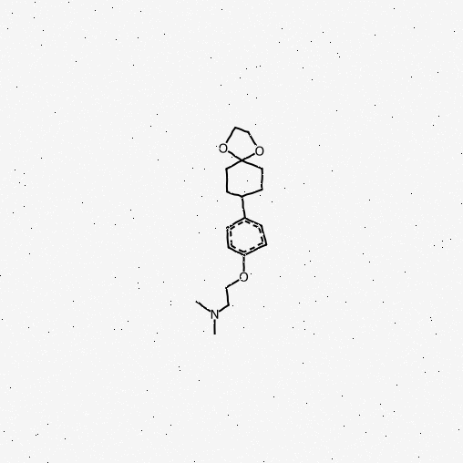 CN(C)CCOc1ccc(C2CCC3(CC2)OCCO3)cc1